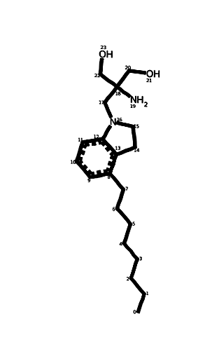 CCCCCCCCc1cccc2c1CCN2CC(N)(CO)CO